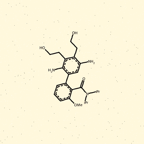 COc1cccc(-c2cc(N)c(CCO)c(CCO)c2N)c1C(=O)N(C(C)C)C(C)C